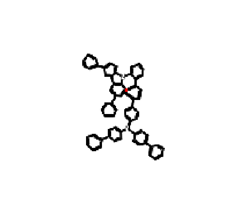 c1ccc(-c2ccc(N(c3ccc(-c4ccccc4)cc3)c3ccc(-c4ccc(-c5ccccc5-n5c6ccc(-c7ccccc7)cc6c6cc(-c7ccccc7)ccc65)cc4)cc3)cc2)cc1